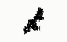 Cc1ccc(Sc2nc(O)nc3c2ncn3CCOCP(CC(F)(F)F)CC(F)(F)F)cc1